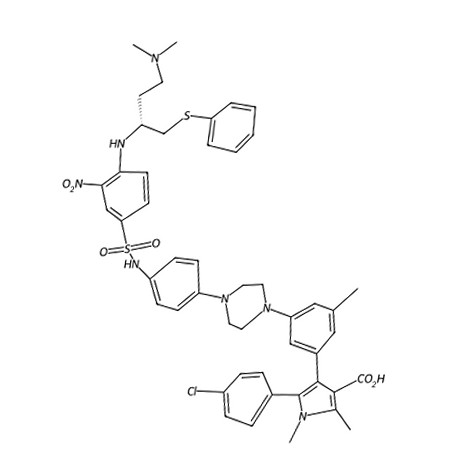 Cc1cc(-c2c(C(=O)O)c(C)n(C)c2-c2ccc(Cl)cc2)cc(N2CCN(c3ccc(NS(=O)(=O)c4ccc(N[C@H](CCN(C)C)CSc5ccccc5)c([N+](=O)[O-])c4)cc3)CC2)c1